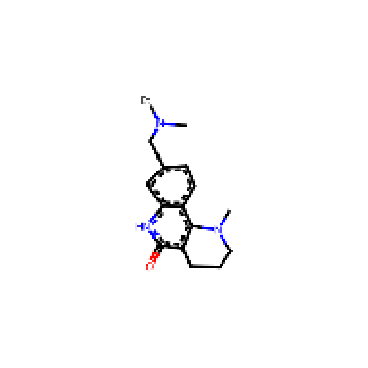 CCN(C)Cc1ccc2c3c(c(=O)[nH]c2c1)CCCN3C